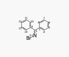 BrN=C(c1ccccc1)c1ccccc1